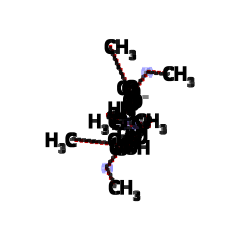 CCCCCCCCC=CCCCCCCCC(=O)OCC(COP(=O)([O-])OCCNC(=O)CC[N+]1=C(/C=C/C=C/C=C/C=C2/N(CCC(=O)NCCOP(=O)(O)OCC(COC(=O)CCCCCCCC=CCCCCCCCC)OC(=O)CCCCCCC/C=C\CCCCCCCC)c3ccc4ccccc4c3C2(C)C)C(C)(C)c2c1ccc1ccccc21)OC(=O)CCCCCCC/C=C\CCCCCCCC